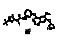 COc1cc2c(Oc3cccc(NC(=O)N(I)c4cc(C(C)(C)C)on4)c3)ncnc2cc1OC1CCNC1.Cl.Cl